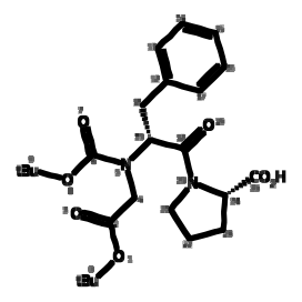 CC(C)(C)OC(=O)CN(C(=O)OC(C)(C)C)[C@H](Cc1ccccc1)C(=O)N1CCC[C@H]1C(=O)O